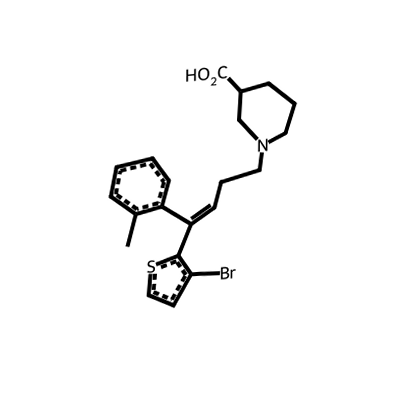 Cc1ccccc1/C(=C\CCN1CCCC(C(=O)O)C1)c1sccc1Br